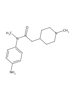 CN1CCC(CC(=O)N(C)c2ccc(N)cc2)CC1